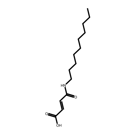 CCCCCCCCCCNC(=O)C=CC(=O)O